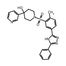 Cc1ccc(-c2nnc(-c3ccccc3)[nH]2)cc1S(=O)(=O)N1CCC(O)(c2cccnc2)CC1